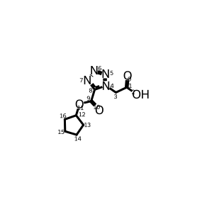 O=C(O)Cn1nnnc1C(=O)OC1CCCC1